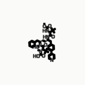 COC(=O)N[C@H](C(=O)N[C@@H](CC[C@@H](Cc1ccccc1)N(O)C(=O)[C@@H](N(C)C(=O)O)C(C)(C)C)Cc1ccc(-c2ccncc2)cc1)C(C)(C)C